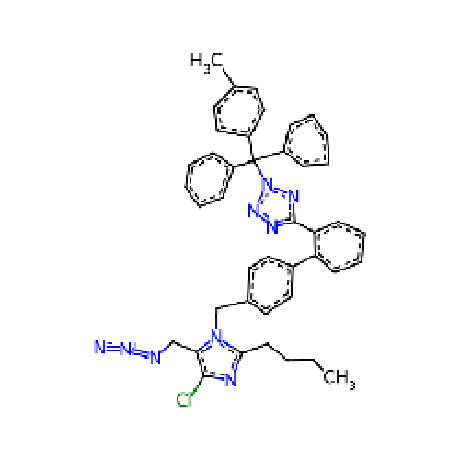 CCCCc1nc(Cl)c(CN=[N+]=[N-])n1Cc1ccc(-c2ccccc2-c2nnn(C(c3ccccc3)(c3ccccc3)c3ccc(C)cc3)n2)cc1